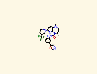 C[C@@H]1CCN(C)c2ccc(N3CCC[C@H](C(F)(F)F)C3)nc2N1C(=O)Nc1cccc(-c2cnco2)c1